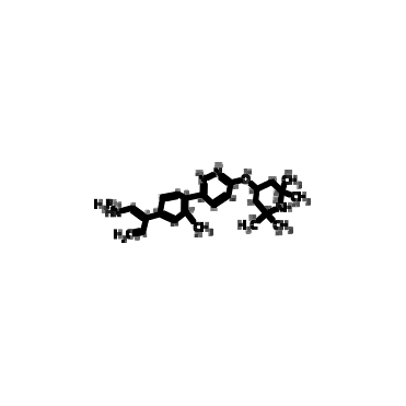 C=C/C(=C\NP)c1ccc(-c2ccc(OC3CC(C)(C)NC(C)(C)C3)nn2)c(C)c1